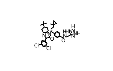 CC1(CC[C@H](c2ccc(C(=O)NCC3=NNNN3)cc2)N2C(=O)C(c3cc(Cl)cc(Cl)c3)=NC23CCC(C(C)(C)C)CC3)CC1